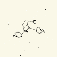 O=C1CCc2c(-c3ccncc3)sc(-c3ccncc3)c21